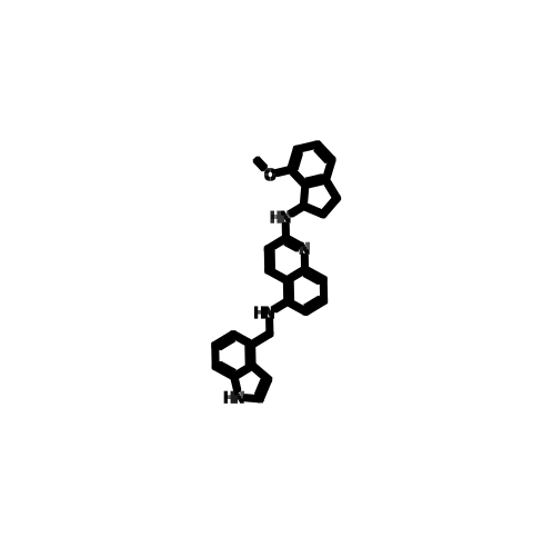 COc1cccc2c1C(Nc1ccc3c(NCc4cccc5[nH]ccc45)cccc3n1)CC2